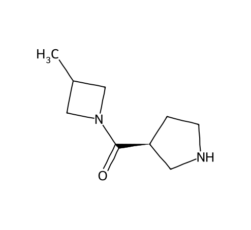 CC1CN(C(=O)[C@H]2CCNC2)C1